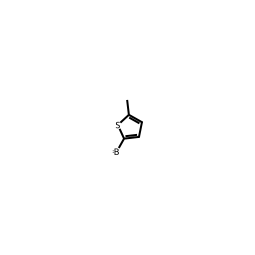 [B]c1ccc(C)s1